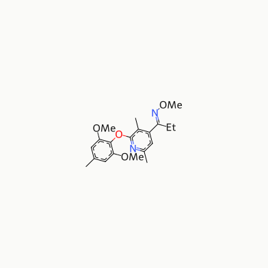 CCC(=NOC)c1cc(C)nc(Oc2c(OC)cc(C)cc2OC)c1C